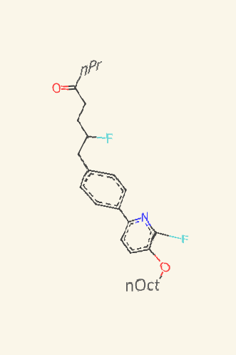 CCCCCCCCOc1ccc(-c2ccc(CC(F)CCC(=O)CCC)cc2)nc1F